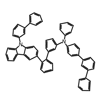 c1ccc(-c2cccc(-c3ccc(N(c4ccccc4)c4cccc(-c5ccccc5-c5ccc6c(c5)c5ccccc5n6-c5cccc(-c6ccccc6)c5)c4)cc3)c2)cc1